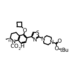 C[C@H]1CCc2c(ccc(-c3csc(N4CCN(C(=O)OC(C)(C)C)CC4)n3)c2OC2CCC2)N1C(=O)O